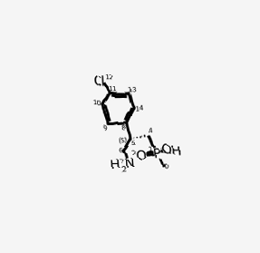 CP(=O)(O)C[C@H](CN)c1ccc(Cl)cc1